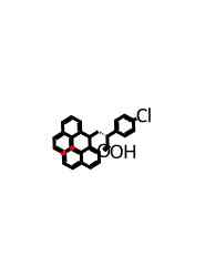 O=C(O)[C@H](CC(c1cccc2ccccc12)c1cccc2ccccc12)c1ccc(Cl)cc1